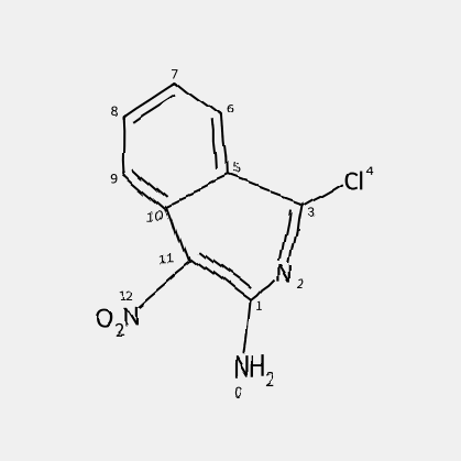 Nc1nc(Cl)c2ccccc2c1[N+](=O)[O-]